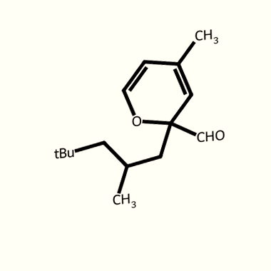 CC1=CC(C=O)(CC(C)CC(C)(C)C)OC=C1